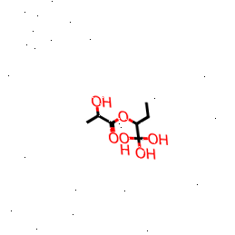 CCC(OC(=O)C(C)O)C(O)(O)O